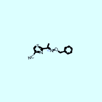 C/C(=N\OCc1ccccc1)c1nc(C#N)cs1